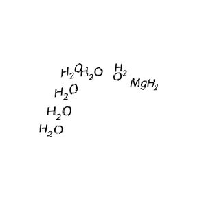 O.O.O.O.O.O.[MgH2]